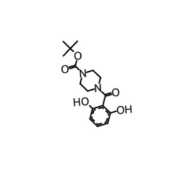 CC(C)(C)OC(=O)N1CCN(C(=O)c2c(O)cccc2O)CC1